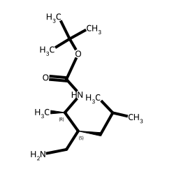 CC(C)C[C@@H](CN)[C@@H](C)NC(=O)OC(C)(C)C